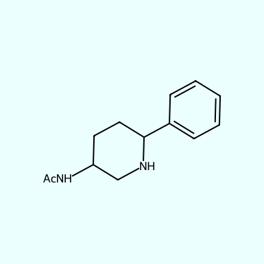 CC(=O)NC1CCC(c2ccccc2)NC1